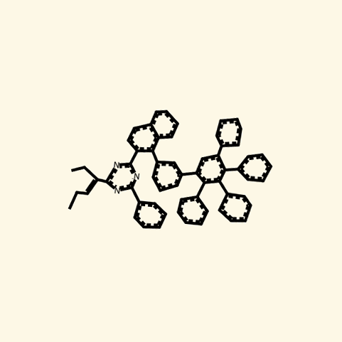 CC/C=C(\CC)c1nc(-c2ccccc2)nc(-c2ccc3ccccc3c2-c2cccc(-c3cc(-c4ccccc4)c(-c4ccccc4)c(-c4ccccc4)c3-c3ccccc3)c2)n1